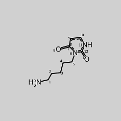 NCCCCCn1c(=O)cc[nH]c1=O